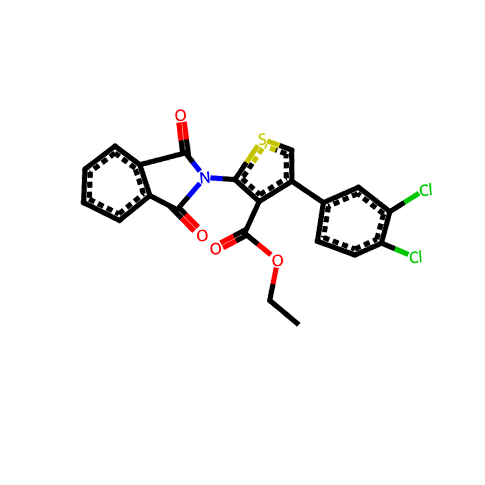 CCOC(=O)c1c(-c2ccc(Cl)c(Cl)c2)csc1N1C(=O)c2ccccc2C1=O